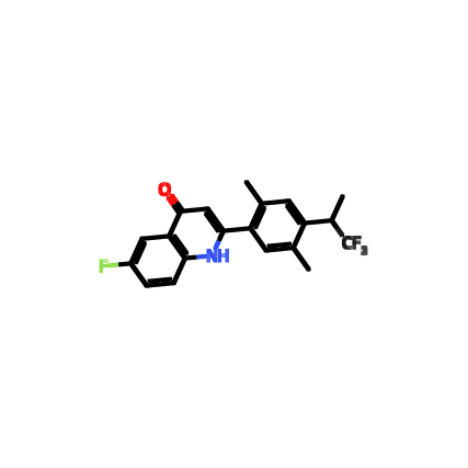 Cc1cc(C(C)C(F)(F)F)c(C)cc1-c1cc(=O)c2cc(F)ccc2[nH]1